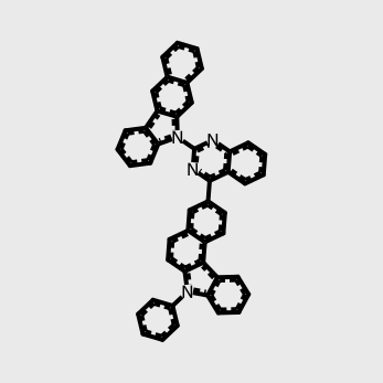 c1ccc(-n2c3ccccc3c3c4ccc(-c5nc(-n6c7ccccc7c7cc8ccccc8cc76)nc6ccccc56)cc4ccc32)cc1